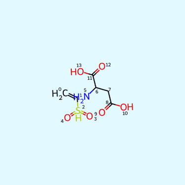 C=C[SH](=O)=O.NC(CC(=O)O)C(=O)O